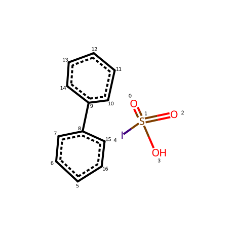 O=S(=O)(O)I.c1ccc(-c2ccccc2)cc1